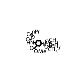 CC[CH2][Ce][O]C(=O)Nc1ccc(B2OC(C)(C)C(C)(C)O2)cc1C(=O)OC